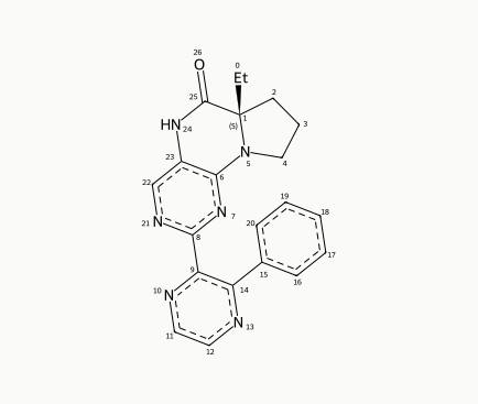 CC[C@@]12CCCN1c1nc(-c3nccnc3-c3ccccc3)ncc1NC2=O